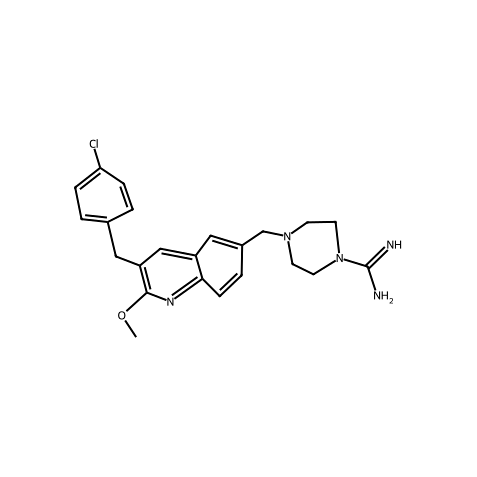 COc1nc2ccc(CN3CCN(C(=N)N)CC3)cc2cc1Cc1ccc(Cl)cc1